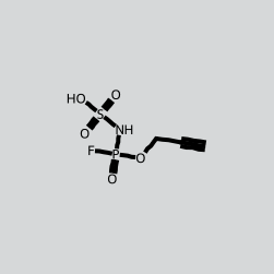 C#CCOP(=O)(F)NS(=O)(=O)O